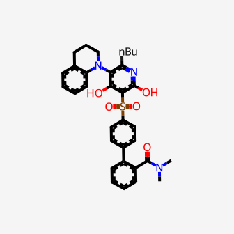 CCCCc1nc(O)c(S(=O)(=O)c2ccc(-c3ccccc3C(=O)N(C)C)cc2)c(O)c1N1CCCc2ccccc21